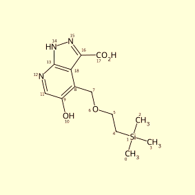 C[Si](C)(C)CCOCc1c(O)cnc2[nH]nc(C(=O)O)c12